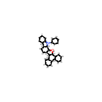 c1ccc(-n2c3ccccc3c3ccc4c(oc5c6ccccc6c6ccccc6c45)c32)cc1